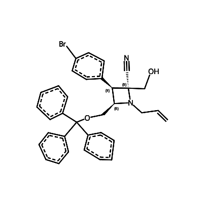 C=CCN1[C@@H](COC(c2ccccc2)(c2ccccc2)c2ccccc2)[C@@H](c2ccc(Br)cc2)[C@@]1(C#N)CO